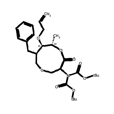 C=CCO[C@@H]1C(Cc2ccccc2)COCC(N(C(=O)OC(C)(C)C)C(=O)OC(C)(C)C)C(=O)O[C@H]1C